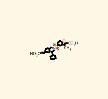 Cc1c(C(=O)O)oc2ccc(S(=O)(=O)N(CCc3ccccc3)Cc3ccc(C=CC(=O)O)cc3)cc12